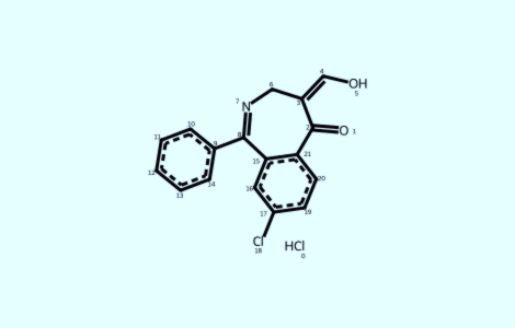 Cl.O=C1C(=CO)CN=C(c2ccccc2)c2cc(Cl)ccc21